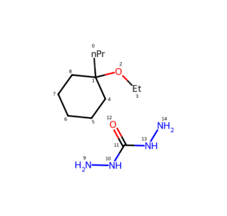 CCCC1(OCC)CCCCC1.NNC(=O)NN